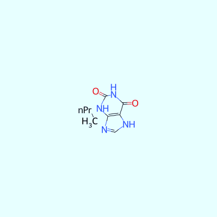 CCCC.O=c1[nH]c(=O)c2[nH]cnc2[nH]1